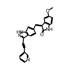 COc1ccc2c(c1)C(=Cc1ccc3c(C#Cc4cccnc4)n[nH]c3c1)C(=O)N2